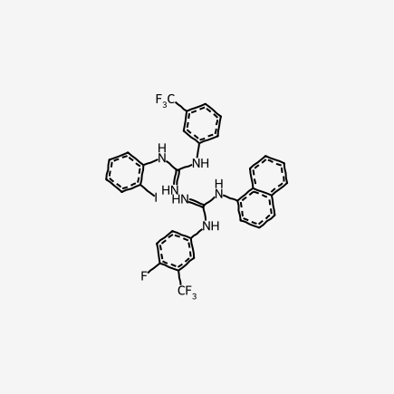 N=C(Nc1ccc(F)c(C(F)(F)F)c1)Nc1cccc2ccccc12.N=C(Nc1cccc(C(F)(F)F)c1)Nc1ccccc1I